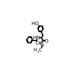 CCOC(=O)C(Cc1ccc(O)cc1)NC(C)c1ccccc1